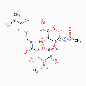 C=C(C)C(=O)OCCNC(=O)C1O[C@@H](O[C@@H]2C(NC(C)=O)COC(CO)[C@H]2O)C(O)[C@@H](OC)[C@@H]1O